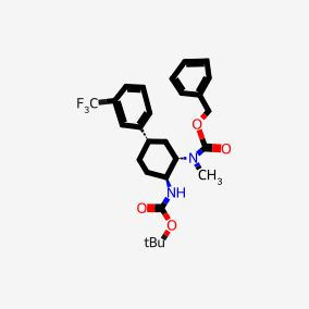 CN(C(=O)OCc1ccccc1)[C@H]1C[C@@H](c2cccc(C(F)(F)F)c2)CC[C@@H]1NC(=O)OC(C)(C)C